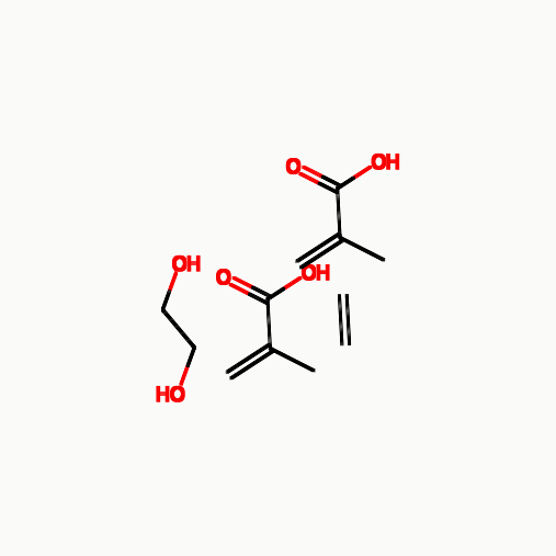 C=C.C=C(C)C(=O)O.C=C(C)C(=O)O.OCCO